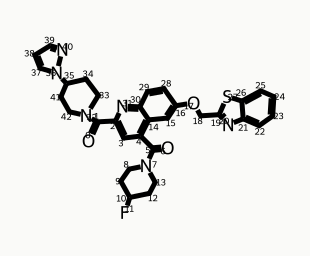 O=C(c1cc(C(=O)N2CCC(F)CC2)c2cc(OCc3nc4ccccc4s3)ccc2n1)N1CCC(n2cccn2)CC1